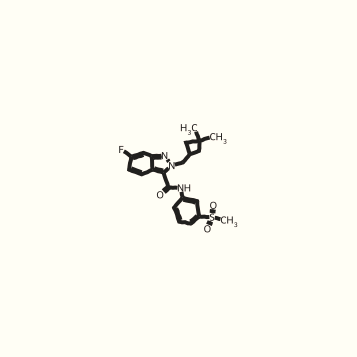 CC1(C)CC(Cn2nc3cc(F)ccc3c2C(=O)Nc2cccc(S(C)(=O)=O)c2)C1